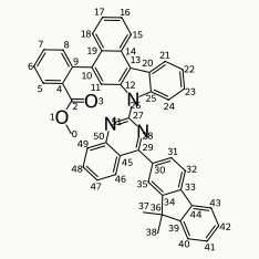 COC(=O)c1ccccc1-c1cc2c(c3ccccc13)c1ccccc1n2-c1nc(-c2ccc3c(c2)C(C)(C)c2ccccc2-3)c2ccccc2n1